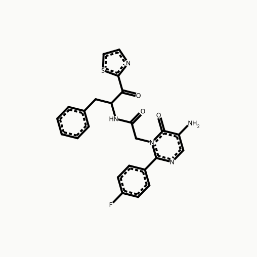 Nc1cnc(-c2ccc(F)cc2)n(CC(=O)NC(Cc2ccccc2)C(=O)c2nccs2)c1=O